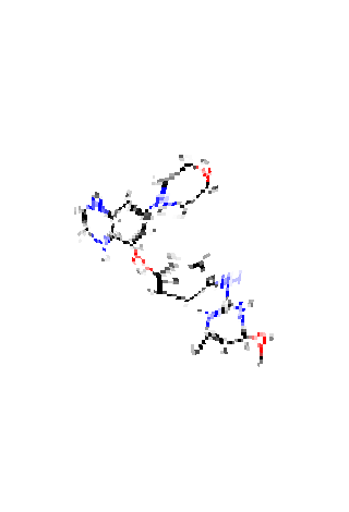 COc1cc(C)nc(NC2CCC(Oc3cc(N4CCOCC4)cc4nccnc34)CC2)n1